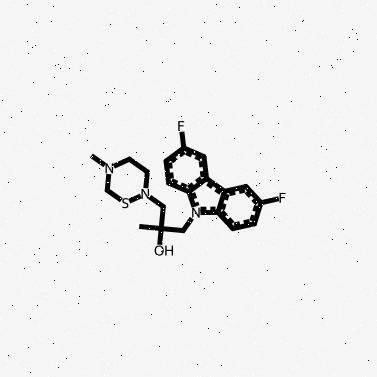 CN1CCN(CC(C)(O)Cn2c3ccc(F)cc3c3cc(F)ccc32)SC1